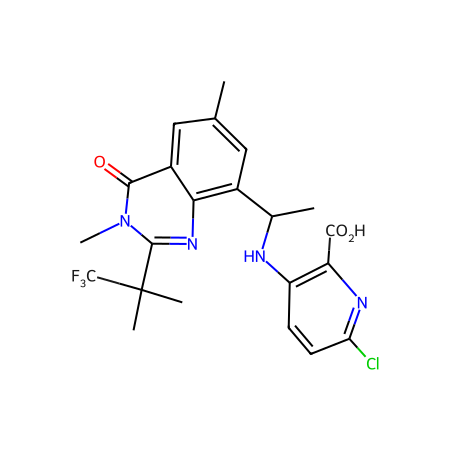 Cc1cc(C(C)Nc2ccc(Cl)nc2C(=O)O)c2nc(C(C)(C)C(F)(F)F)n(C)c(=O)c2c1